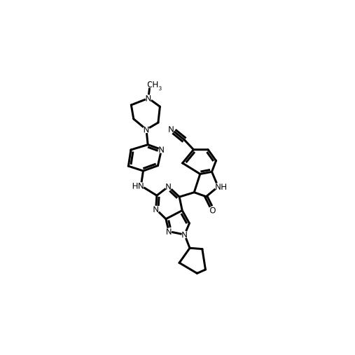 CN1CCN(c2ccc(Nc3nc(C4C(=O)Nc5ccc(C#N)cc54)c4cn(C5CCCC5)nc4n3)cn2)CC1